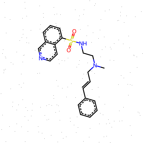 CN(C/C=C/c1ccccc1)CCNS(=O)(=O)c1cccc2cnccc12